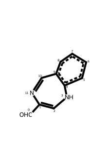 O=CC1=CNc2ccccc2C=N1